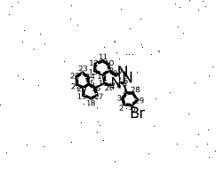 Brc1ccc(-c2nnc3c4ccccc4c(-c4cccc5ccccc45)cn23)cc1